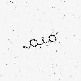 Cc1ccc(NC(=O)Nc2cccc(CBr)c2)cc1